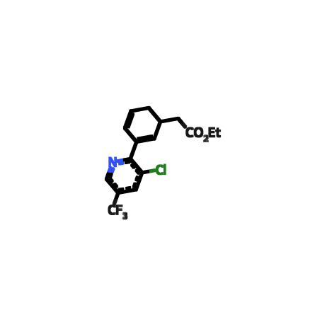 CCOC(=O)CC1C=C(c2ncc(C(F)(F)F)cc2Cl)C=CC1